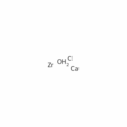 O.[C].[Ca].[Zr]